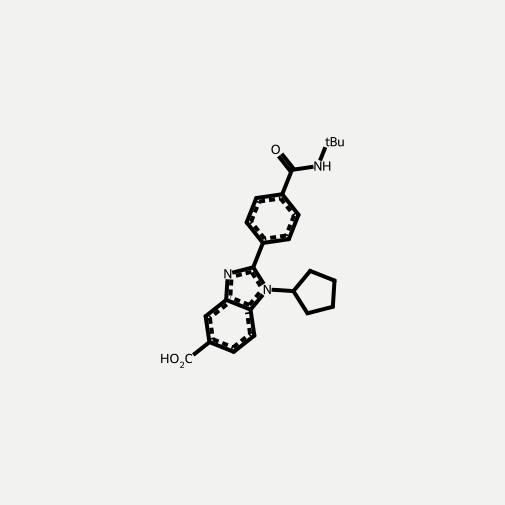 CC(C)(C)NC(=O)c1ccc(-c2nc3cc(C(=O)O)ccc3n2C2CCCC2)cc1